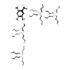 CCCC[N+](CCCC)(CCCC)CCCC.CCCC[N+](CCCC)(CCCC)CCCC.CCCC[N+](CCCC)(CCCC)CCCC.CCCC[N+](CCCC)(CCCC)CCCC.O=C([O-])c1cc(C(=O)[O-])c(C(=O)[O-])cc1C(=O)[O-]